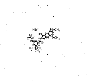 Br.CCOc1cc2c(cc1CC(=O)NC)C(=N)N(CC(=O)c1cc(NCC(C)=O)cc(C(C)(C)C)c1)C2